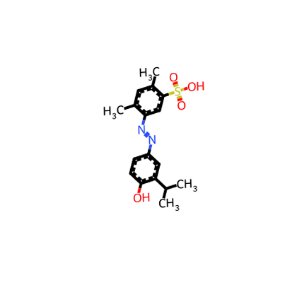 Cc1cc(C)c(S(=O)(=O)O)cc1N=Nc1ccc(O)c(C(C)C)c1